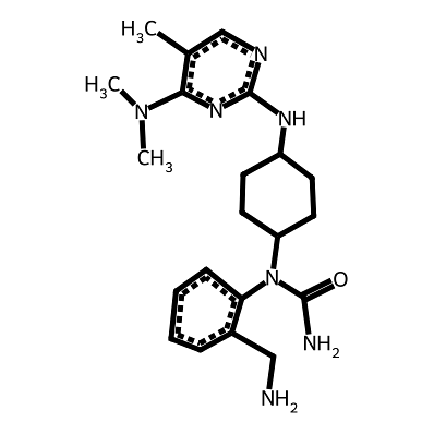 Cc1cnc(NC2CCC(N(C(N)=O)c3ccccc3CN)CC2)nc1N(C)C